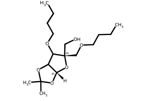 CCCCOC[C@@]1(CO)O[C@@H]2OC(C)(C)OC2C1OCCCC